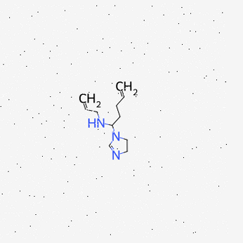 C=CCCC(NCC=C)N1C=NCC1